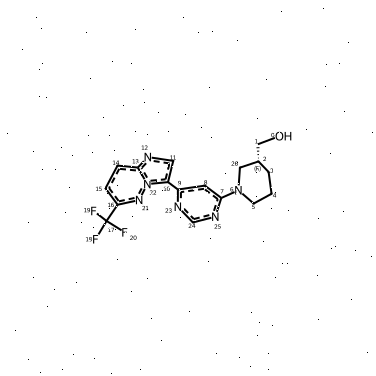 OC[C@@H]1CCCN(c2cc(-c3cnc4ccc(C(F)(F)F)nn34)ncn2)C1